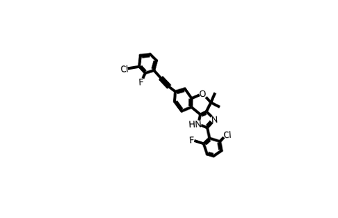 CC1(C)Oc2cc(C#Cc3cccc(Cl)c3F)ccc2-c2[nH]c(-c3c(F)cccc3Cl)nc21